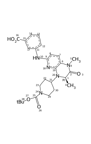 C[C@@H]1C(=O)N(C)c2ccc(Nc3cccc(C(=O)O)c3)nc2N1C1CCN(C(=O)OC(C)(C)C)CC1